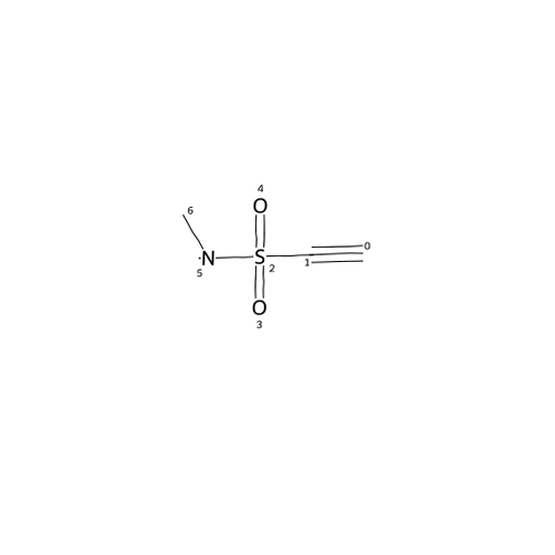 C#CS(=O)(=O)[N]C